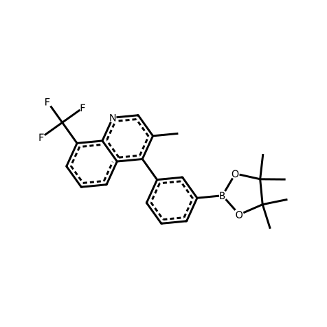 Cc1cnc2c(C(F)(F)F)cccc2c1-c1cccc(B2OC(C)(C)C(C)(C)O2)c1